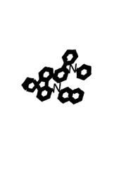 c1ccc(-n2c3ccccc3c3ccc(N(c4ccc5ccccc5c4)c4cccc5c4-c4ccccc4C54CC5CCC4C5)cc32)cc1